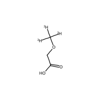 [2H]C([2H])([2H])OCC(=O)O